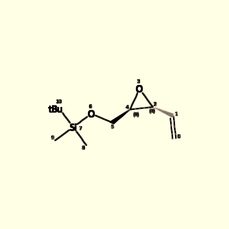 C=C[C@H]1O[C@@H]1CO[Si](C)(C)C(C)(C)C